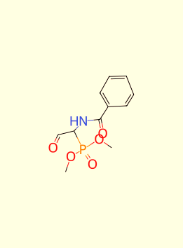 COP(=O)(OC)C(C=O)NC(=O)c1ccccc1